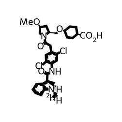 [2H]C([2H])([2H])n1cc(C(=O)Nc2cc(Cl)c(CC(=O)N3C[C@@H](OC)C[C@H]3CO[C@H]3CC[C@H](C(=O)O)CC3)cc2Cl)c2ccccc21